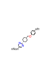 CCCCCCCCCc1cnc([C@H]2CC[C@H](COc3ccc(CCC)cc3)CC2)nc1